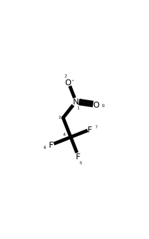 O=[N+]([O-])CC(F)(F)F